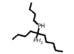 CCCCCC(P)(CCCC)PCCCC